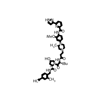 C#Cc1ccc(CNC(=O)[C@@H]2C[C@@H](O)CN2C(=O)[C@@H](NC(=O)CCN2CCN(c3ccc(NC(=O)c4cccc(-c5cc[nH]n5)n4)c(OC)c3)[C@@H](C)C2)C(C)(C)C)c(C)c1